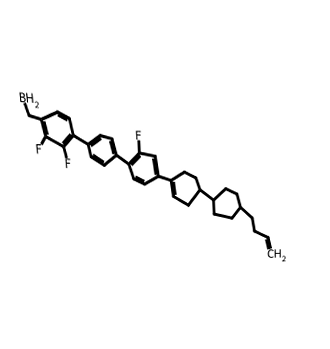 BCc1ccc(-c2ccc(-c3ccc(C4=CCC(C5CCC(CCC=C)CC5)CC4)cc3F)cc2)c(F)c1F